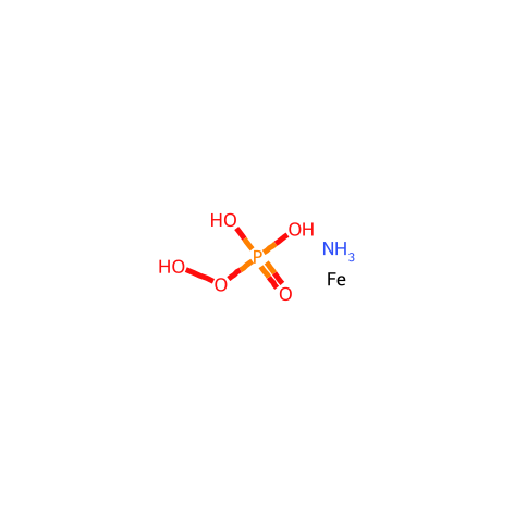 N.O=P(O)(O)OO.[Fe]